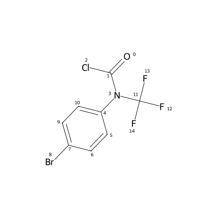 O=C(Cl)N(c1ccc(Br)cc1)C(F)(F)F